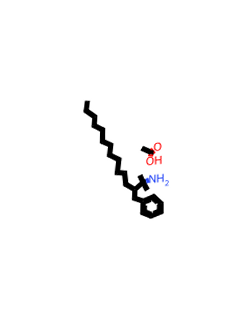 CC(=O)O.CCCCCCCCCCCCC(Cc1ccccc1)C(C)(C)N